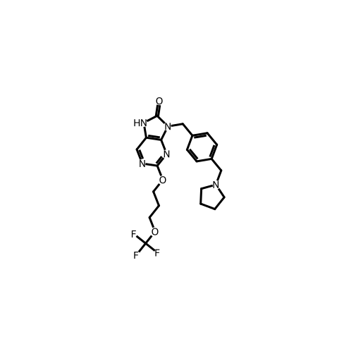 O=c1[nH]c2cnc(OCCCOC(F)(F)F)nc2n1Cc1ccc(CN2CCCC2)cc1